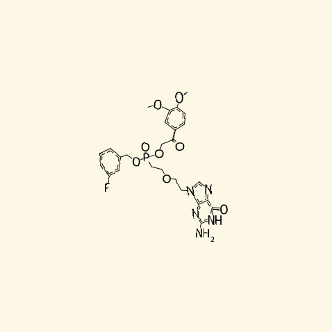 COc1ccc(C(=O)COP(=O)(CCOCCn2cnc3c(=O)[nH]c(N)nc32)OCc2cccc(F)c2)cc1OC